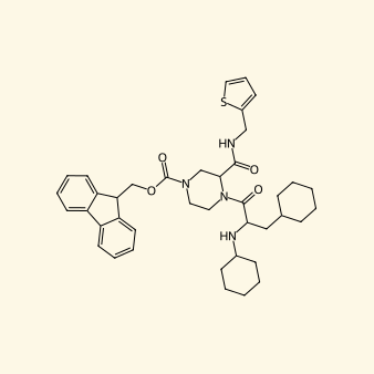 O=C(NCc1cccs1)C1CN(C(=O)OCC2c3ccccc3-c3ccccc32)CCN1C(=O)C(CC1CCCCC1)NC1CCCCC1